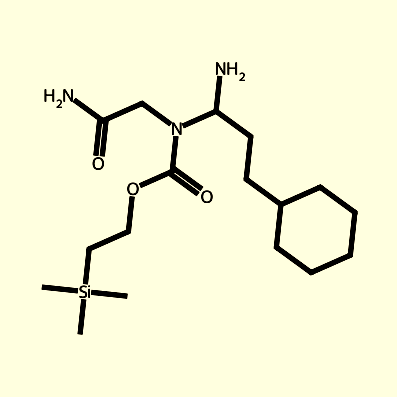 C[Si](C)(C)CCOC(=O)N(CC(N)=O)C(N)CCC1CCCCC1